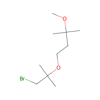 COC(C)(C)CCOC(C)(C)CBr